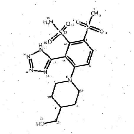 CS(=O)(=O)c1ccc(N2CCC(CO)CC2)c(-c2nnn[nH]2)c1S(N)(=O)=O